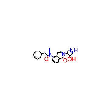 O=C(CC1CCCCCC1)Nc1cccc2c(=O)n(C3CNCC3O)ccc12